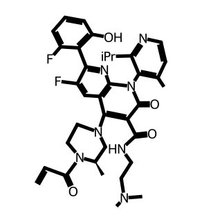 C=CC(=O)N1CCN(c2c(C(=O)NCCN(C)C)c(=O)n(-c3c(C)ccnc3C(C)C)c3nc(-c4c(O)cccc4F)c(F)cc23)C[C@H]1C